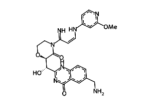 COc1cc(N/C=C\C(=N)N2CCO[C@H]([C@@H](O)c3nc(=O)c4cc(CN)ccc4[nH]3)C2=O)ccn1